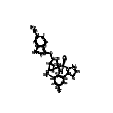 N#Cc1ccc2c(c1)ncn2CC1C[C@H](C(=O)N2N=CCC2c2cc(F)cc(F)c2)C2CC1C2